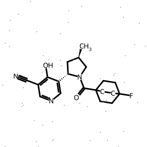 C[C@@H]1C[C@@H](c2cncc(C#N)c2O)N(C(=O)C23CCC(F)(CC2)CC3)C1